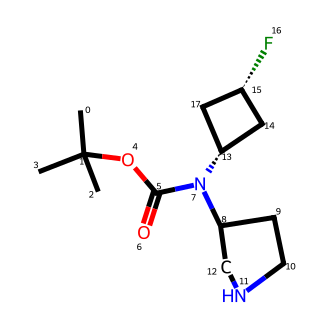 CC(C)(C)OC(=O)N(C1CCNC1)[C@H]1C[C@@H](F)C1